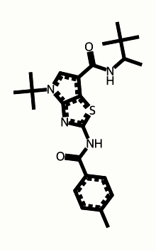 Cc1ccc(C(=O)Nc2nc3c(s2)c(C(=O)NC(C)C(C)(C)C)cn3C(C)(C)C)cc1